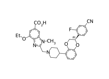 CCOc1cc(C(=O)O)cc2c1nc(CN1CCC(c3cccc4c3OC[C@@H](c3ccc(C#N)cc3F)O4)CC1)n2C